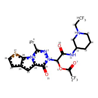 CC(C)c1nn(C(OC(=O)C(F)(F)F)C(=O)NC2CCCN(CC(F)(F)F)C2)c(=O)c2cc3ccsc3n12